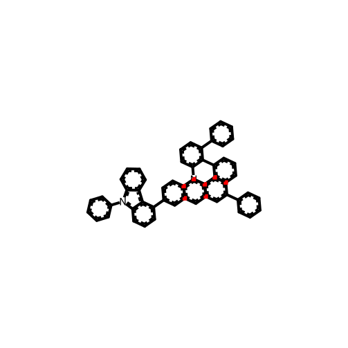 c1ccc(-c2ccc(N(c3ccc(-c4cccc5c4c4ccccc4n5-c4ccccc4)cc3)c3cccc(-c4ccccc4)c3-c3ccccc3-c3ccccc3)cc2)cc1